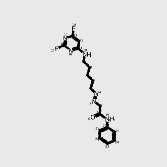 O=C(CN=NCCCCCNc1cc(F)nc(F)n1)Nc1ccccc1